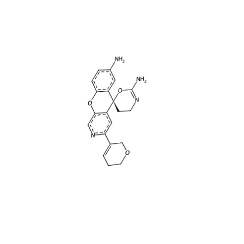 NC1=NCC[C@]2(O1)c1cc(N)ccc1Oc1cnc(C3=CCCOC3)cc12